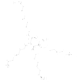 NCCSCCCOC[C@H]1O[C@H](O)[C@H](OCCCSCCN)[C@@H](OCCCSCCN)[C@H]1OCCCSCCN